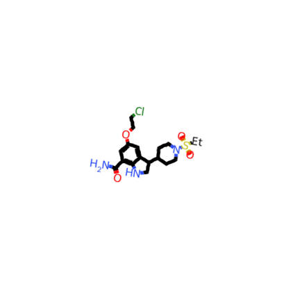 CCS(=O)(=O)N1CCC(C2CNc3c(C(N)=O)cc(OCCCl)cc32)CC1